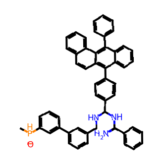 C[PH](=O)c1cccc(-c2cccc(CNC(NC(N)c3ccccc3)c3ccc(-c4c5ccccc5c(-c5ccccc5)c5c4ccc4ccccc45)cc3)c2)c1